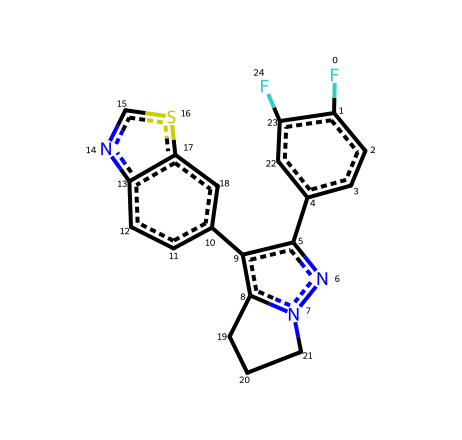 Fc1ccc(-c2nn3c(c2-c2ccc4ncsc4c2)CCC3)cc1F